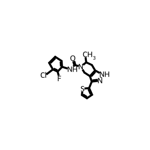 CC1Cc2[nH]nc(-c3cccs3)c2CN1C(=O)Nc1cccc(Cl)c1F